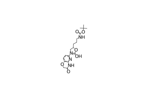 CC(C)(C)OC(=O)NCCCC1CN(c2ccc3c(n2)NC(=O)CO3)[C@@H](O)O1